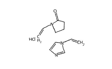 C=CN1CCCC1=O.C=Cn1ccnc1.Cl